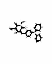 CCN1C(=O)C(=Cc2ccc(N(c3ccccc3)c3ccccc3)cc2)C(C)=C(C#N)C1=O